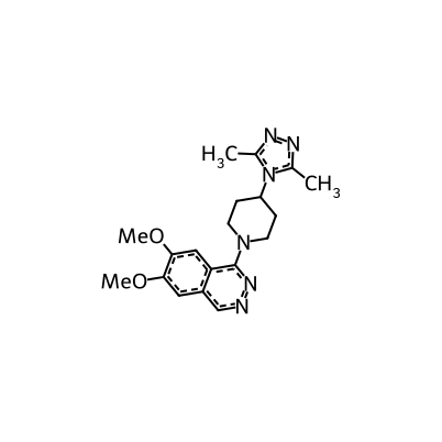 COc1cc2cnnc(N3CCC(n4c(C)nnc4C)CC3)c2cc1OC